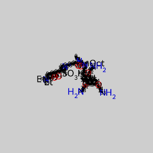 C=CCN(CC(=O)N(CCCCCCCC)CCC[C@@H](C)[C@H]1CC[C@H]2C3[C@H](OCCCN)CC4C[C@H](OCCCN)CC[C@]4(C)[C@H]3C[C@H](OCCCN)[C@]12C)C(=O)CCCCC[n+]1ccc(/C=C/c2cc3ccc(N(CC)CC)cc3oc2=O)c(S(=O)(=O)O)c1